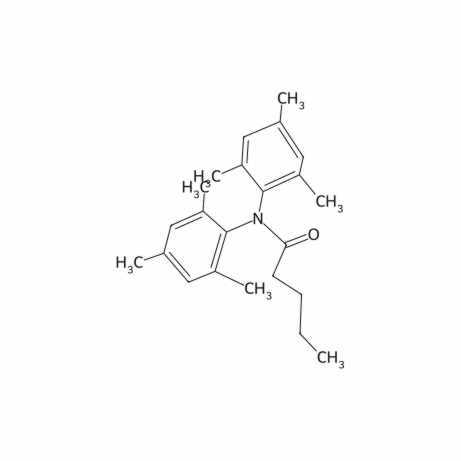 CCCCC(=O)N(c1c(C)cc(C)cc1C)c1c(C)cc(C)cc1C